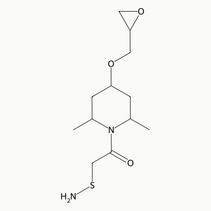 CC1CC(OCC2CO2)CC(C)N1C(=O)CSN